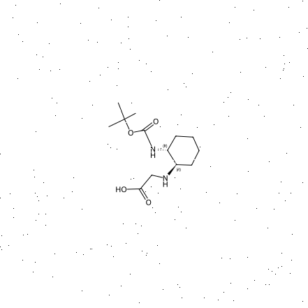 CC(C)(C)OC(=O)N[C@@H]1CCCC[C@H]1NCC(=O)O